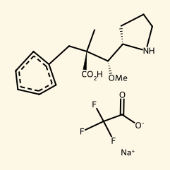 CO[C@@H]([C@@H]1CCCN1)[C@@](C)(Cc1ccccc1)C(=O)O.O=C([O-])C(F)(F)F.[Na+]